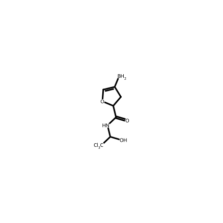 BC1=COC(C(=O)NC(O)C(Cl)(Cl)Cl)C1